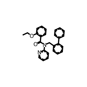 CCOc1ccccc1C(=O)N(Cc1ccccc1-c1ccccc1)c1ccccn1